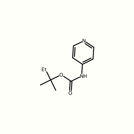 CCC(C)(C)OC(=O)Nc1ccncc1